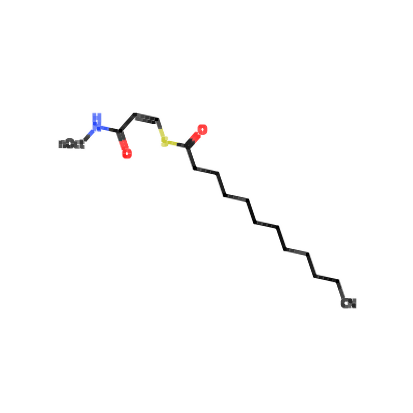 CCCCCCCCNC(=O)/C=C\SC(=O)CCCCCCCCCCC#N